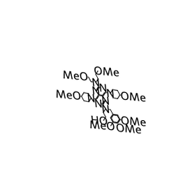 COCCN(CCOC)c1nc(N2CCC(OC)CC2)c2nc(N(CCO)Cc3cc(OC)c(OC)c(OC)c3)nc(N3CCC(OC)CC3)c2n1